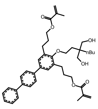 C=C(C)C(=O)OCCCc1cc(-c2ccc(-c3ccccc3)cc2)cc(CCCOC(=O)C(=C)C)c1OCCC(CO)(CO)CCCC